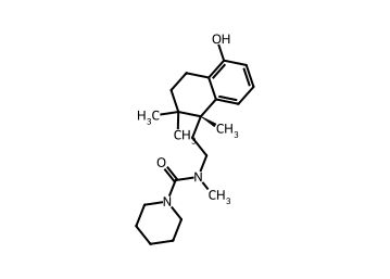 CN(CC[C@@]1(C)c2cccc(O)c2CCC1(C)C)C(=O)N1CCCCC1